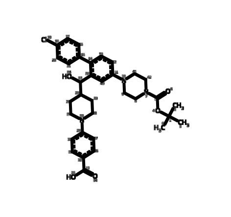 CC(C)(C)OC(=O)N1CCN(c2ccc(-c3ccc(Cl)cc3)c(C(O)C3CCN(c4ccc(C(=O)O)cc4)CC3)c2)CC1